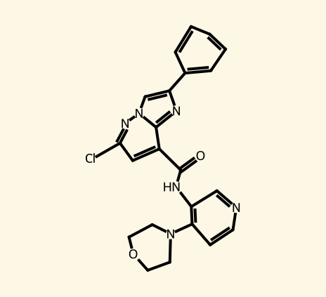 O=C(Nc1cnccc1N1CCOCC1)c1cc(Cl)nn2cc(-c3ccccc3)nc12